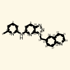 Cc1cccc(Nc2ccc3nnn(Cc4ccc5ncccc5c4)c3n2)n1